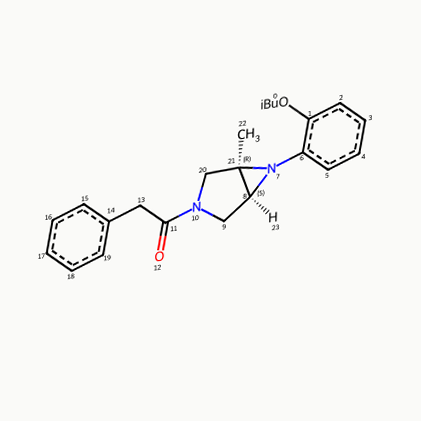 CC(C)COc1ccccc1N1[C@H]2CN(C(=O)Cc3ccccc3)C[C@]21C